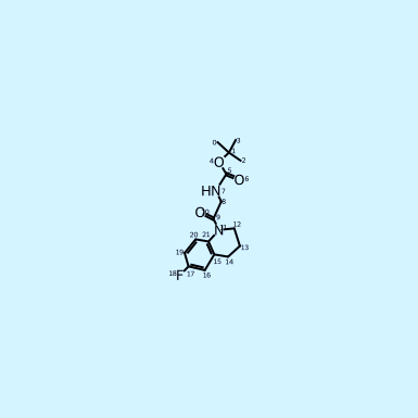 CC(C)(C)OC(=O)NCC(=O)N1CCCc2cc(F)ccc21